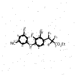 CCOC(=O)C(F)(F)C(F)c1ccc(Oc2cc(F)cc(C#N)c2)c(F)c1Br